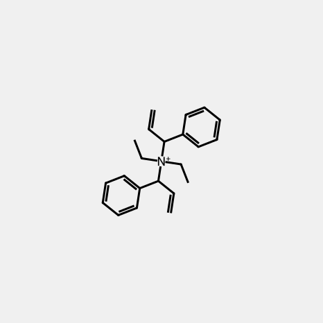 C=CC(c1ccccc1)[N+](CC)(CC)C(C=C)c1ccccc1